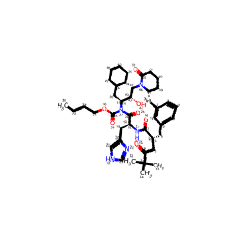 [3H]c1cccc(C[C@H](CC(=O)C(C)(C)C)C(=O)N[C@@H](Cc2c[nH]cn2)C(=O)N(C(=O)OCCCC)[C@@H](CC2CCCCC2)[C@@H](O)CN2CCCCC2=O)c1